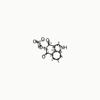 O=C1c2cccc3[nH]cc(c23)C(=O)N1O[SH](=O)=O